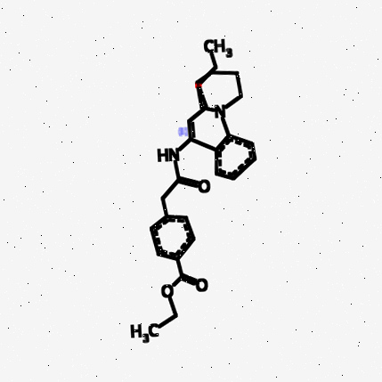 CCCC/C=C(/NC(=O)Cc1ccc(C(=O)OCC)cc1)c1ccccc1N1CCCCC1